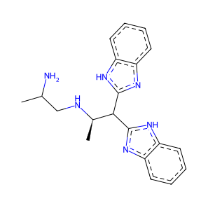 CC(N)CN[C@H](C)C(c1nc2ccccc2[nH]1)c1nc2ccccc2[nH]1